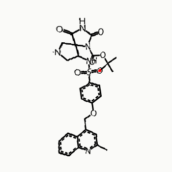 Cc1cc(COc2ccc(S(=O)(=O)NC3C[N]CC34C(=O)NC(=O)N4C(=O)OC(C)(C)C)cc2)c2ccccc2n1